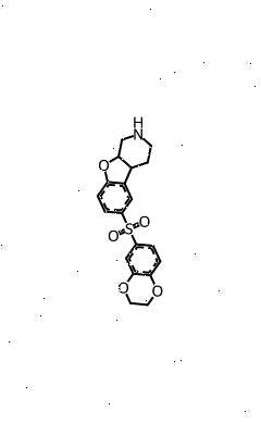 O=S(=O)(c1ccc2c(c1)OCCO2)c1ccc2c(c1)C1CCNCC1O2